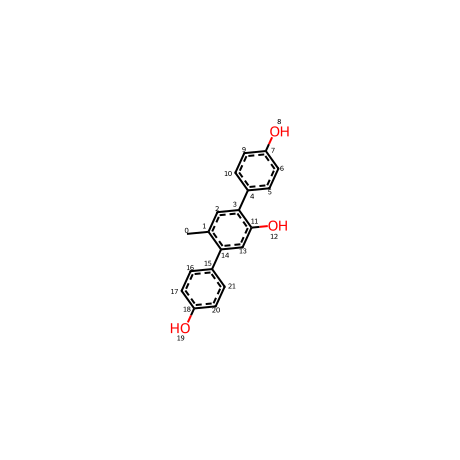 Cc1cc(-c2ccc(O)cc2)c(O)cc1-c1ccc(O)cc1